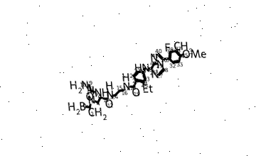 BC(=C)NCC(NC(=O)CN)C(=O)NCCCNC(=O)c1ccc(Nc2nccn3c(-c4ccc(OC)c(C)c4F)cnc23)cc1CC